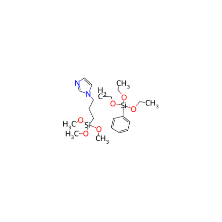 CCO[Si](OCC)(OCC)c1ccccc1.CO[Si](CCCn1ccnc1)(OC)OC